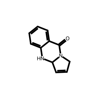 O=C1c2ccccc2NC2C=CCN12